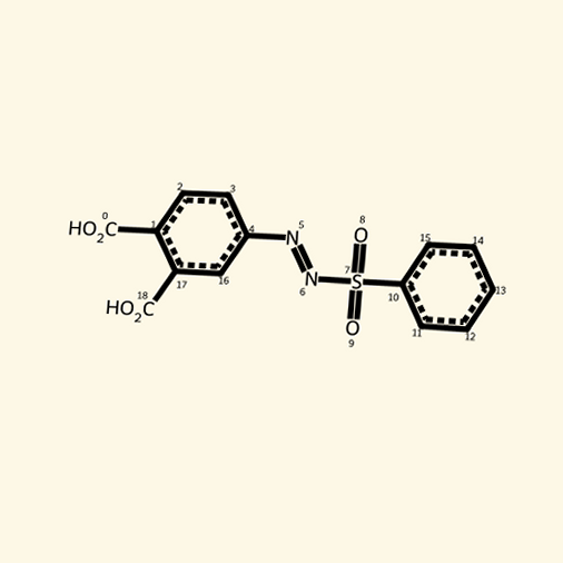 O=C(O)c1ccc(N=NS(=O)(=O)c2ccccc2)cc1C(=O)O